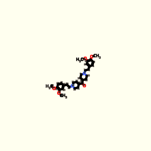 COc1ccc(CCN2CCC(C(=O)C3CCN(CCc4ccc(OC)c(OC)c4)CC3)CC2)cc1OC